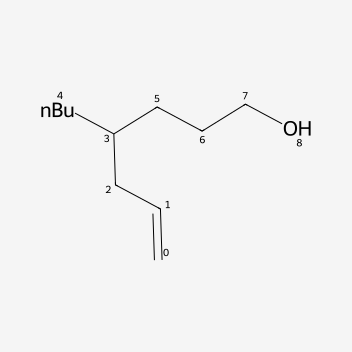 C=CCC(CCCC)CCCO